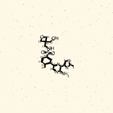 Cc1ncc(-c2nc(-c3cc(S(=O)(=O)NCC4(CO)COC4)ccc3C)cnc2N)s1